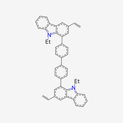 C=Cc1cc(-c2ccc(-c3ccc(-c4cc(C=C)cc5c6ccccc6n(CC)c45)cc3)cc2)c2c(c1)c1ccccc1n2CC